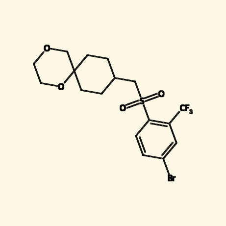 O=S(=O)(CC1CCC2(CC1)COCCO2)c1ccc(Br)cc1C(F)(F)F